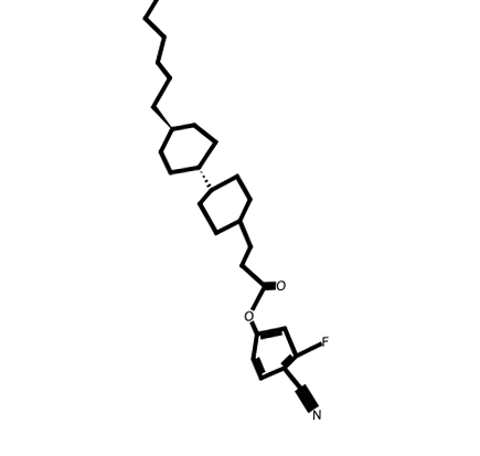 CCCCCC[C@H]1CC[C@H](C2CCC(CCC(=O)Oc3ccc(C#N)c(F)c3)CC2)CC1